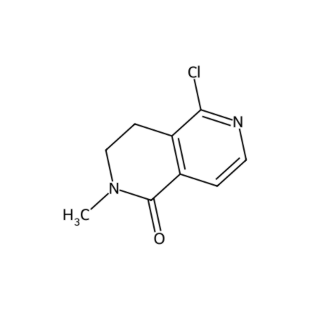 CN1CCc2c(ccnc2Cl)C1=O